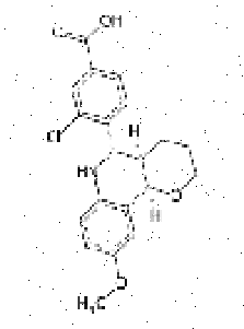 COc1ccc2c(c1)[C@@H]1OCCC[C@@H]1[C@@H](c1ccc(C(=O)O)cc1Cl)N2